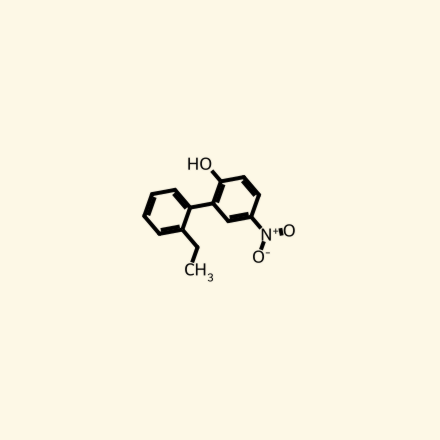 CCc1ccccc1-c1cc([N+](=O)[O-])ccc1O